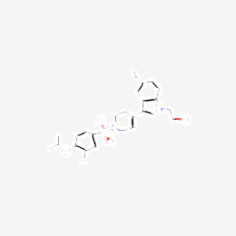 CC(C)Oc1ccc(S(=O)(=O)N2CC=C(c3cn(CC=O)c4ccc(I)cc34)CC2)cc1F